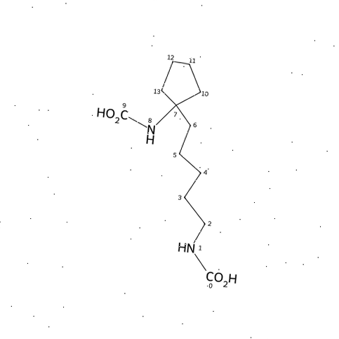 O=C(O)NCCCCCC1(NC(=O)O)CCCC1